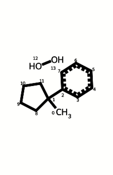 CC1(c2ccccc2)CCCC1.OO